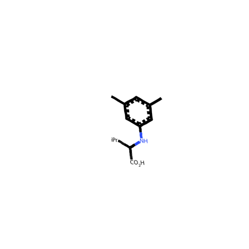 Cc1cc(C)cc(NC(C(=O)O)C(C)C)c1